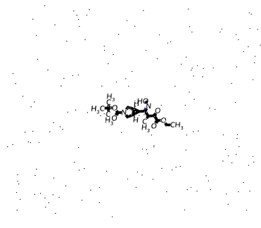 CCOC(=O)C(=O)C(C)/C(=N/O)C1[C@H]2CN(C(=O)OC(C)(C)C)C[C@@H]12